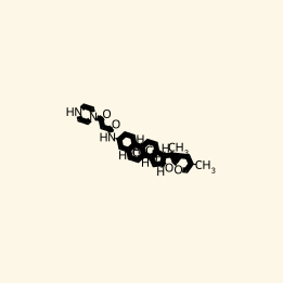 C[C@@H]1CO[C@]23O[C@H]4C[C@H]5[C@@H]6CC[C@@H]7C[C@H](NC(=O)CC(=O)N8CCNCC8)CC[C@]7(C)[C@H]6CC[C@]5(C)[C@H]4[C@]2(C)C3C1